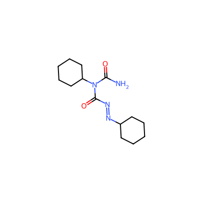 NC(=O)N(C(=O)N=NC1CCCCC1)C1CCCCC1